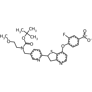 COCCN(Cc1ccc(C2Cc3nccc(Oc4ccc([N+](=O)[O-])cc4F)c3S2)nc1)C(=O)OC(C)(C)C